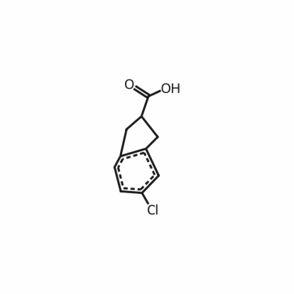 O=C(O)C1Cc2ccc(Cl)cc2C1